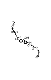 COC(C)(C)CCOC(C)(C)CCNC(=O)CCCC(=O)Nc1ccc2c(c1)C(CO)c1cc(NC(=O)CCCC(=O)NCCC(C)(C)OCC(C)(C)OC)ccc1-2